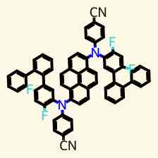 N#Cc1ccc(N(c2cc(-c3ccccc3-c3ccccc3)c(F)cc2F)c2ccc3ccc4c(N(c5ccc(C#N)cc5)c5cc(-c6ccccc6-c6ccccc6)c(F)cc5F)ccc5ccc2c3c54)cc1